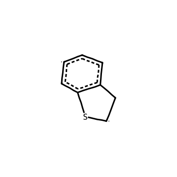 [c]1ccc2c(c1)S[CH]C2